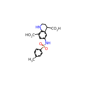 Cc1ccc(S(=O)(=O)Nc2cc(C(=O)O)c3c(c2)C(C(=O)O)CCN3)cc1